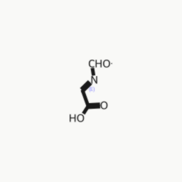 O=[C]/N=C/C(=O)O